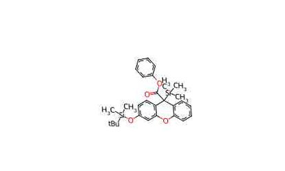 CC(C)(C)[Si](C)(C)Oc1ccc2c(c1)Oc1ccccc1C2(C(=O)Oc1ccccc1)[Si](C)(C)C